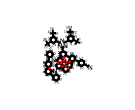 CC(C)(C)c1cc(-c2nc(-c3cc(C(C)(C)C)cc(C(C)(C)C)c3)nc(-c3ccc(-n4c5ccccc5c5cc(-n6c7ccccc7c7ccccc76)ccc54)c(-c4ccc(-c5ccc(C#N)cc5)cc4-n4c5ccccc5c5cc(-n6c7ccccc7c7ccccc76)ccc54)c3)n2)cc(C(C)(C)C)c1